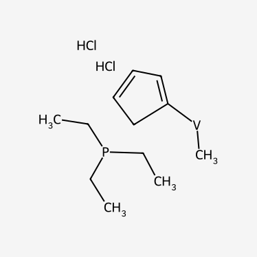 CCP(CC)CC.Cl.Cl.[CH3][V][C]1=CC=CC1